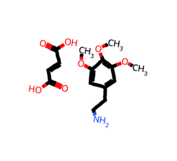 COc1cc(CCN)cc(OC)c1OC.O=C(O)/C=C/C(=O)O